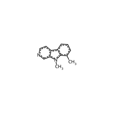 Cc1cccc2c3ccncc3n(C)c12